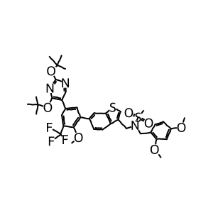 COc1ccc(CN(Cc2csc3cc(-c4cc(-c5cnc(OC(C)(C)C)nc5OC(C)(C)C)cc(C(F)(F)F)c4OC)ccc23)S(C)(=O)=O)c(OC)c1